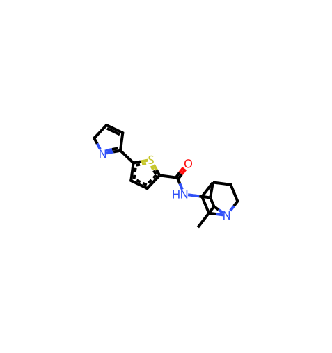 CC1C(NC(=O)c2ccc(C3=NCC=C3)s2)C2CCN1CC2